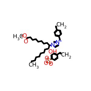 C=Cc1ccc(C[n+]2ccn(C(CCCCCCCC(=O)OC)C(O)CCCCCCCC)c2)cc1.C=Cc1ccc(S(=O)(=O)[O-])cc1